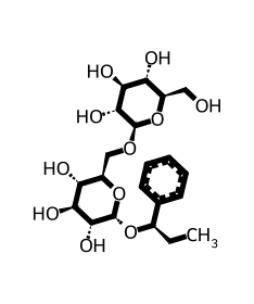 CC[C@@H](O[C@H]1O[C@H](CO[C@@H]2O[C@H](CO)[C@@H](O)[C@H](O)[C@H]2O)[C@@H](O)[C@H](O)[C@H]1O)c1ccccc1